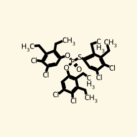 CCc1c(OP(=O)(Oc2cc(Cl)c(Cl)c(CC)c2CC)Sc2cc(Cl)c(Cl)c(CC)c2CC)cc(Cl)c(Cl)c1CC